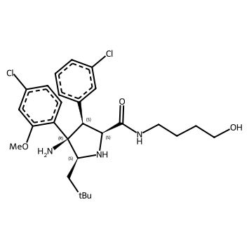 COc1cc(Cl)ccc1[C@@]1(N)[C@H](CC(C)(C)C)N[C@H](C(=O)NCCCCO)[C@@H]1c1cccc(Cl)c1